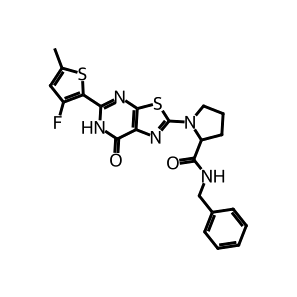 Cc1cc(F)c(-c2nc3sc(N4CCCC4C(=O)NCc4ccccc4)nc3c(=O)[nH]2)s1